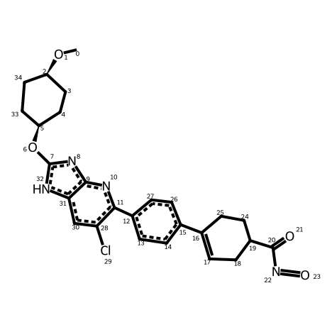 CO[C@H]1CC[C@@H](Oc2nc3nc(-c4ccc(C5=CCC(C(=O)N=O)CC5)cc4)c(Cl)cc3[nH]2)CC1